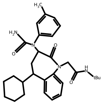 Cc1cccc(N(C(N)=O)C2CC(C3CCCCC3)c3ccccc3N(CC(=O)NC(C)(C)C)C2=O)c1